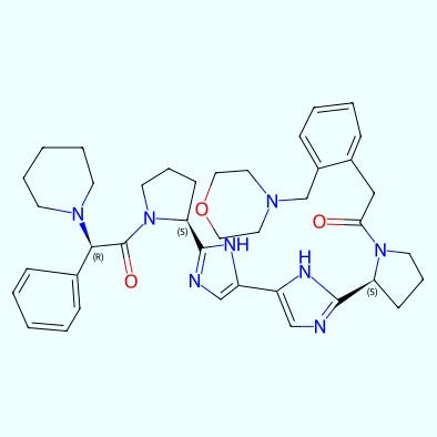 O=C(Cc1ccccc1CN1CCOCC1)N1CCC[C@H]1c1ncc(-c2cnc([C@@H]3CCCN3C(=O)[C@@H](c3ccccc3)N3CCCCC3)[nH]2)[nH]1